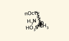 CCCCCCCC/C=C\CCCCCCCC(=O)N(C)CCS(=O)(=O)O.N